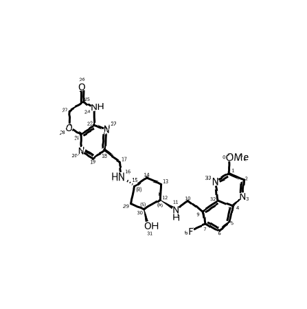 COc1cnc2ccc(F)c(CN[C@@H]3CC[C@@H](NCc4cnc5c(n4)NC(=O)CO5)C[C@@H]3O)c2n1